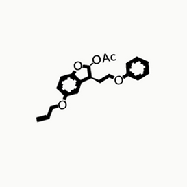 C=CCOc1ccc2c(c1)[C@H](CCOc1ccccc1)[C@@H](OC(C)=O)O2